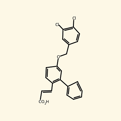 O=C(O)C=Cc1ccc(OCc2ccc(Cl)c(Cl)c2)cc1-c1ccccc1